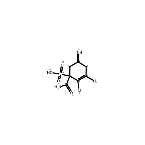 N=C1CC(Cl)=C(Cl)C(C(N)=O)(S(=O)(=O)O)C1